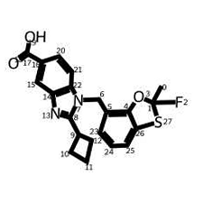 CC1(F)Oc2c(Cn3c(C4CCC4)nc4cc(C(=O)O)ccc43)cccc2S1